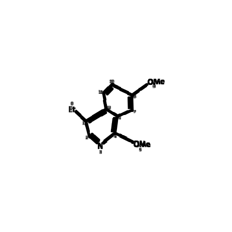 CCc1cnc(OC)c2cc(OC)ccc12